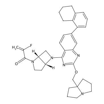 C=C(F)C(=O)N1CC[C@@H]2[C@H]1CN2c1nc(OCC23CCCN2CCC3)nc2cc(-c3cccc4c3CCCC4)ccc12